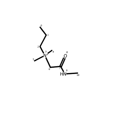 CCC[N+](C)(C)CC(=O)NC